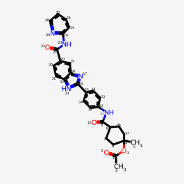 CC(=O)OC1(C)CCC(C(=O)Nc2ccc(-c3nc4cc(C(=O)Nc5ccccn5)ccc4[nH]3)cc2)CC1